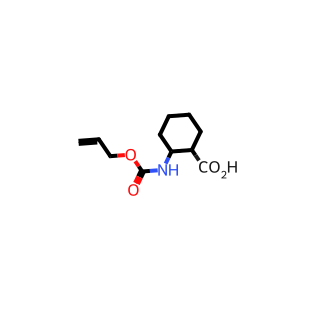 C=CCOC(=O)NC1CCCCC1C(=O)O